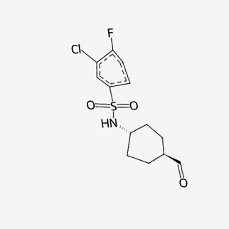 O=C[C@H]1CC[C@H](NS(=O)(=O)c2ccc(F)c(Cl)c2)CC1